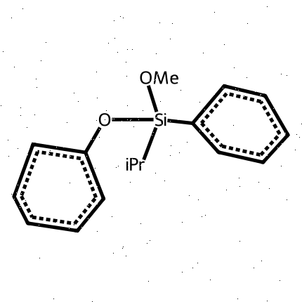 CO[Si](Oc1ccccc1)(c1ccccc1)C(C)C